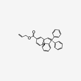 C=CCOC(=O)c1ccnc(C=P(c2ccccc2)(c2ccccc2)c2ccccc2)c1